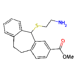 COC(=O)c1ccc2c(c1)C(SCCN)c1ccccc1CC2